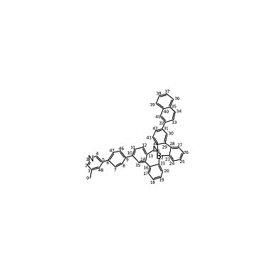 Cc1cncc(-c2ccc(-c3ccc4c(c3)-c3ccccc3B3c5ccccc5-c5cc(-c6ccc7ccccc7c6)ccc5N34)cc2)c1